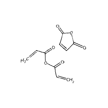 C=CC(=O)OC(=O)C=C.O=C1C=CC(=O)O1